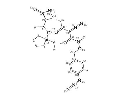 CC[Si](CC)(CC)O[C@H](C)[C@H]1C(=O)N[C@@H]1CC(=O)C(=[N+]=[N-])C(=O)N(C)OCc1ccc(N=[N+]=[N-])cc1